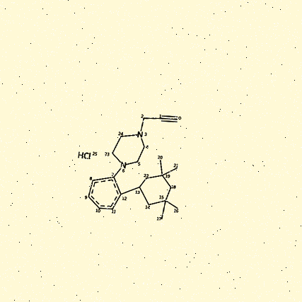 C#CCN1CCN(c2ccccc2C2CC(C)(C)CC(C)(C)C2)CC1.Cl